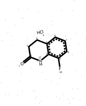 Cl.O=C1CCc2cccc(F)c2N1